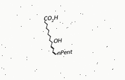 CCCCC/C=C\C=C\[C@@H](O)CCCCCCCC(=O)O